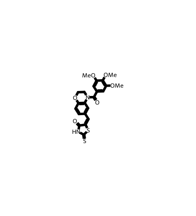 COc1cc(C(=O)N2CCOc3ccc(C=C4SC(=S)NC4=O)cc32)cc(OC)c1OC